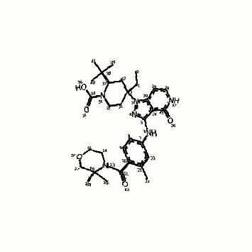 CCC1(n2nc(Nc3ccc(C(=O)N4CCOCC4(C)C)c(C)c3)c3c(=O)[nH]ccc32)CCN(C(=O)O)C(C(C)(C)C)C1